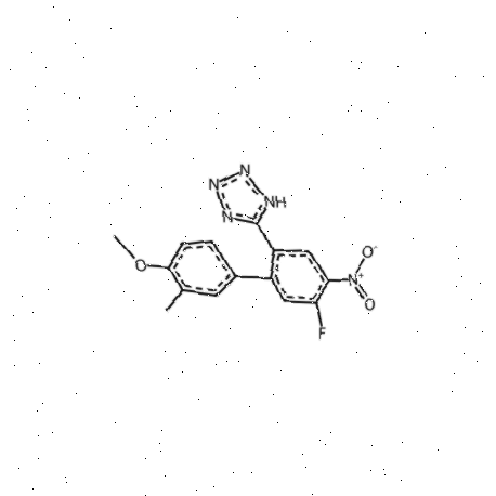 COc1ccc(-c2cc(F)c([N+](=O)[O-])cc2-c2nnn[nH]2)cc1C